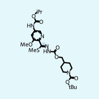 COc1cc(NC(=O)OC(C)C)cnc1/C(=N/NC(=O)OCC1CCN(C(=O)OC(C)(C)C)CC1)SC